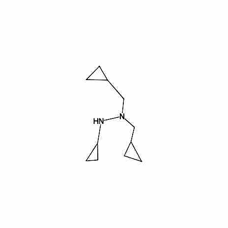 C1CC1CN(CC1CC1)NC1CC1